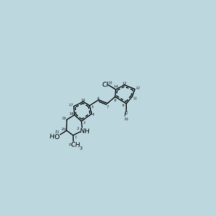 CC1Nc2cc(C=Cc3c(F)cccc3Cl)ccc2CC1O